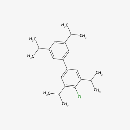 CC(C)c1cc(-c2cc(C(C)C)c(Cl)c(C(C)C)c2)cc(C(C)C)c1